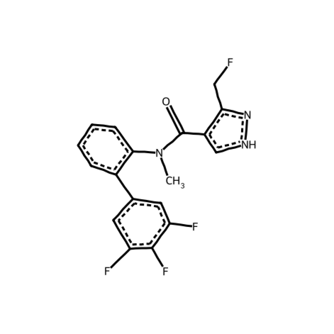 CN(C(=O)c1c[nH]nc1CF)c1ccccc1-c1cc(F)c(F)c(F)c1